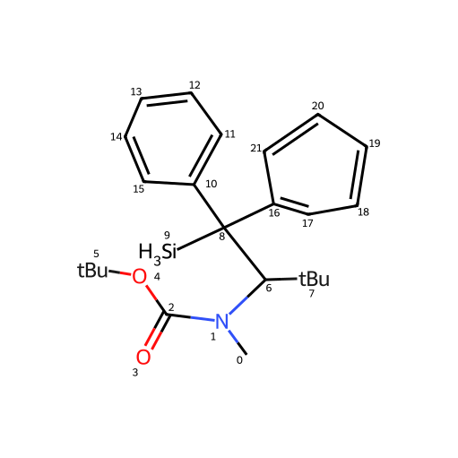 CN(C(=O)OC(C)(C)C)C(C(C)(C)C)C([SiH3])(c1ccccc1)c1ccccc1